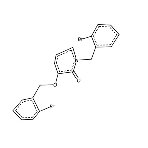 O=c1c(OCc2ccccc2Br)cccn1Cc1ccccc1Br